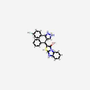 O=c1c(=C(c2ccccc2)c2c[nH]nc2-c2ccc(F)cc2)sc2nc3ccccc3n12